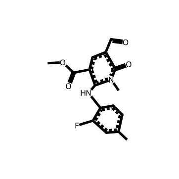 COC(=O)c1cc(C=O)c(=O)n(C)c1Nc1ccc(C)cc1F